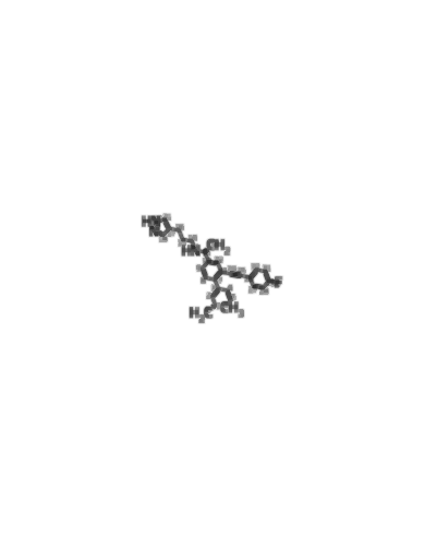 C=C/C=C(\C=C/C)c1ccc(C(=C)NCCCc2cn[nH]c2)cc1C#Cc1ccc(F)cc1